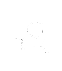 CC(=O)O.CC(=O)c1ccc(F)cc1